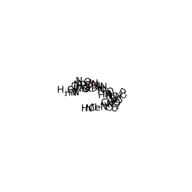 CN[C@@H](C)C(=O)N[C@H](C(=O)N1C[C@@H](NC(=O)c2cnc(N3CCN(CCOc4cc5ncnc(Nc6n[nH]c(C)c6C)c5cc4S(=O)(=O)C(C)(C)C)CC3)nc2)C[C@H]1C(=O)N[C@@H]1CCCc2ccccc21)C1CCCCC1.Cl